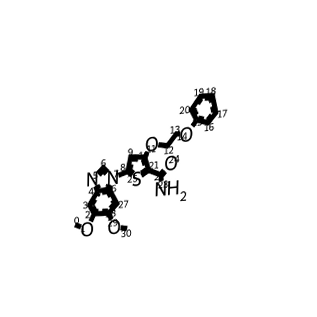 COc1cc2ncn(-c3cc(OCCOc4ccccc4)c(C(N)=O)s3)c2cc1OC